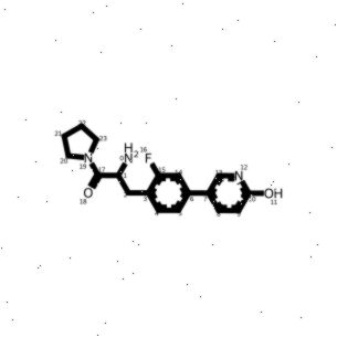 NC(Cc1ccc(-c2ccc(O)nc2)cc1F)C(=O)N1CCCC1